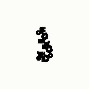 CNC(=O)c1cc(Oc2ccc3c(c2)nc(Nc2cccc([N+](=O)[O-])c2)n3C)ccn1